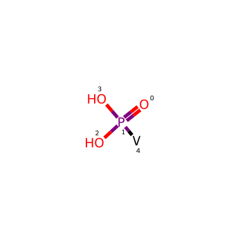 O=[P](O)(O)[V]